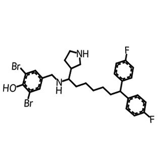 Oc1c(Br)cc(CNC(CCCCCC(c2ccc(F)cc2)c2ccc(F)cc2)C2CCNC2)cc1Br